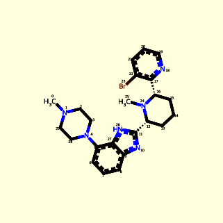 CN1CCN(c2cccc3nc([C@H]4CCC[C@@H](c5ncccc5Br)N4C)[nH]c23)CC1